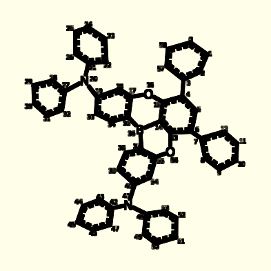 c1ccc(-c2cc(-c3ccccc3)c3c4c2Oc2cc(N(c5ccccc5)c5ccccc5)ccc2B4c2ccc(N(c4ccccc4)c4ccccc4)cc2O3)cc1